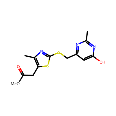 COC(=O)Cc1sc(SCc2cc(O)nc(C)n2)nc1C